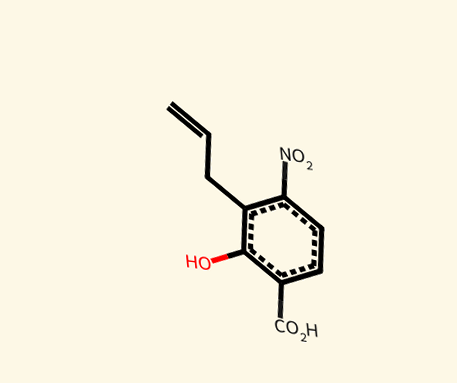 C=CCc1c([N+](=O)[O-])ccc(C(=O)O)c1O